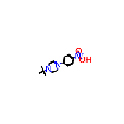 CC(C)(C)N1CCN(c2ccc([N+](=O)O)cc2)CC1